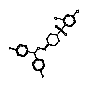 O=S(=O)(c1ccc(Cl)cc1Cl)N1CCC(=NOC(c2ccc(F)cc2)c2ccc(F)cc2)CC1